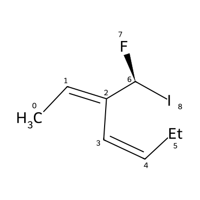 C/C=C(\C=C/CC)[C@@H](F)I